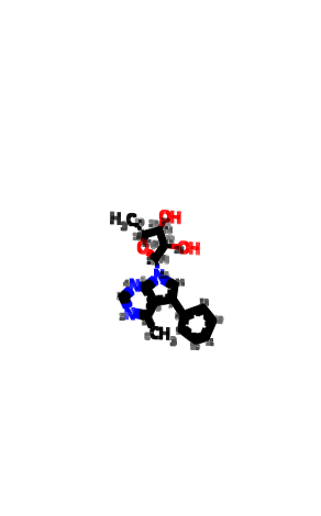 Cc1ncnc2c1c(-c1ccccc1)cn2[C@@H]1O[C@H](C)[C@@H](O)[C@H]1O